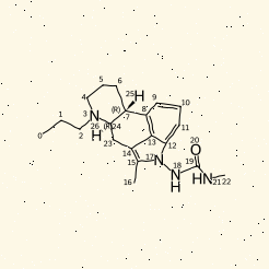 CCCN1CCC[C@@H]2c3cccc4c3c(c(C)n4NC(=O)NC)C[C@H]21